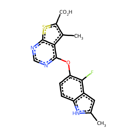 Cc1cc2c(F)c(Oc3ncnc4sc(C(=O)O)c(C)c34)ccc2[nH]1